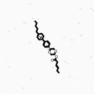 CCC=CCC(=O)O[C@@H]1CO[C@@H](c2ccc(C34CCC(CCCCC)(CC3)CC4)cc2)CO1